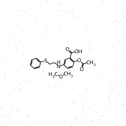 CC(=O)Oc1ccc(NCCSc2ccccc2)cc1C(=O)O.COC